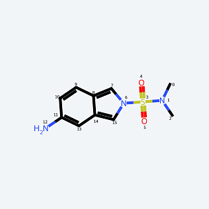 CN(C)S(=O)(=O)n1cc2ccc(N)cc2c1